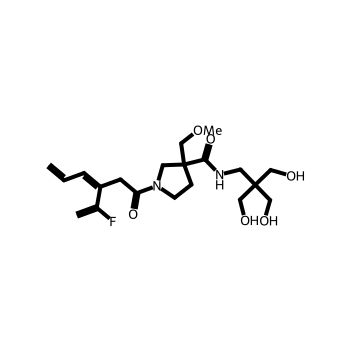 C=C/C=C(/CC(=O)N1CCC(COC)(C(=O)NCC(CO)(CO)CO)C1)C(=C)F